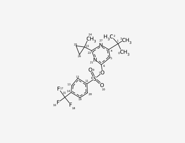 CC(C)(C)c1cc(OS(=O)(=O)c2ccc(C(F)(F)F)cc2)nc(C2(C)CC2)n1